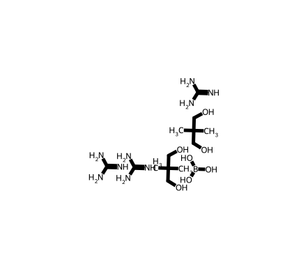 CC(C)(CO)CO.CC(C)(CO)CO.N=C(N)N.N=C(N)N.N=C(N)N.OB(O)O